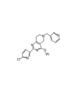 CC(C)Oc1nc(-c2ccc(Cl)nc2)nc2c1CN(Cc1cccnc1)CC2